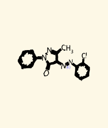 CC1=NN(c2ccccc2)C(=O)C1/N=N/c1ccccc1Cl